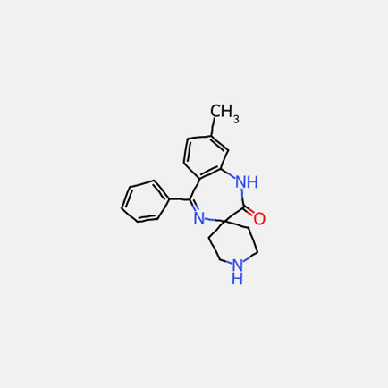 Cc1ccc2c(c1)NC(=O)C1(CCNCC1)N=C2c1ccccc1